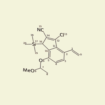 C=Cc1ccc(OC(C)OC)c2c1C(Cl)=C(C#N)C2[Si](C)(C)C